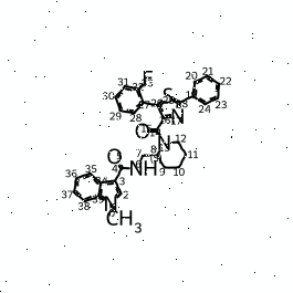 Cn1cc(C(=O)NC[C@@H]2CCCCN2C(=O)c2nc(-c3ccccc3)sc2-c2ccccc2F)c2ccccc21